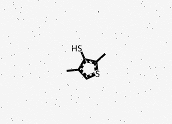 Cc1csc(C)c1S